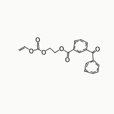 C=COC(=O)OCCOC(=O)c1cccc(C(=O)c2ccccc2)c1